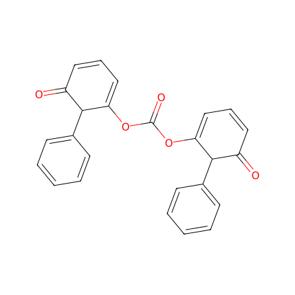 O=C(OC1=CC=CC(=O)C1c1ccccc1)OC1=CC=CC(=O)C1c1ccccc1